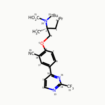 CC(C)C[C@@](C)(COc1ccc(-c2ccnc(C(F)(F)F)n2)cc1C#N)N(C(=O)O)C(C)(C)C